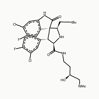 CNC[C@@H](O)CCNC(=O)[C@@H]1N[C@H](CC(C)(C)C)[C@]2(C(=O)Nc3cc(Cl)c(F)cc32)[C@H]1c1ccc(F)c(Cl)c1